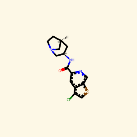 O=C(N[C@@H]1C[C@@H]2CCN(C2)C1)c1cc2c(Cl)csc2cn1